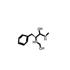 CNC(O)[C@H](Cc1ccccc1)NCO